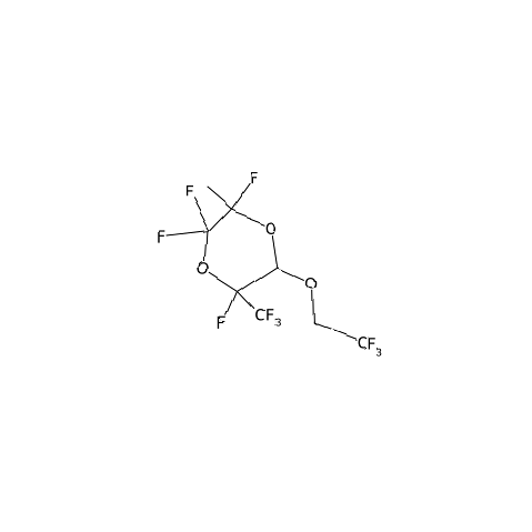 CC1(F)OC(OCC(F)(F)F)C(F)(C(F)(F)F)OC1(F)F